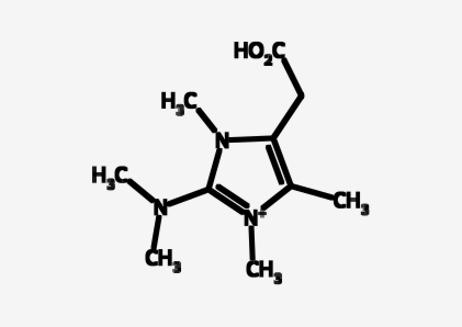 Cc1c(CC(=O)O)n(C)c(N(C)C)[n+]1C